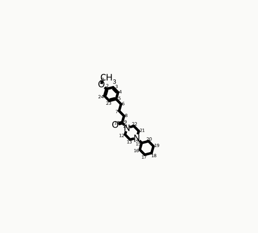 COc1ccc(CCCC(=O)N2CCN(C3CCCCC3)CC2)cc1